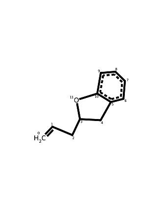 C=CCC1Cc2ccccc2O1